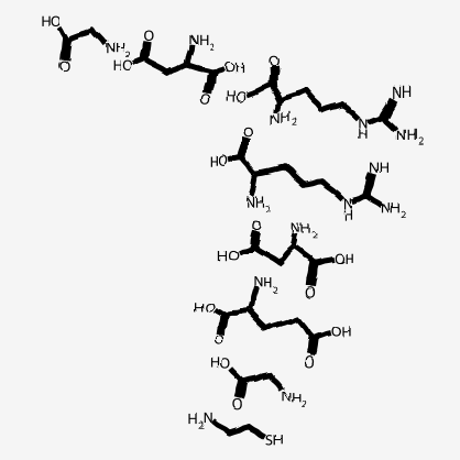 N=C(N)NCCCC(N)C(=O)O.N=C(N)NCCCC(N)C(=O)O.NC(CC(=O)O)C(=O)O.NC(CC(=O)O)C(=O)O.NC(CCC(=O)O)C(=O)O.NCC(=O)O.NCC(=O)O.NCCS